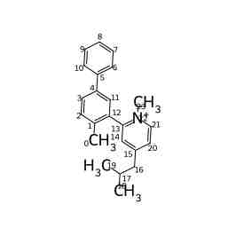 Cc1ccc(-c2ccccc2)cc1-c1cc(CC(C)C)cc[n+]1C